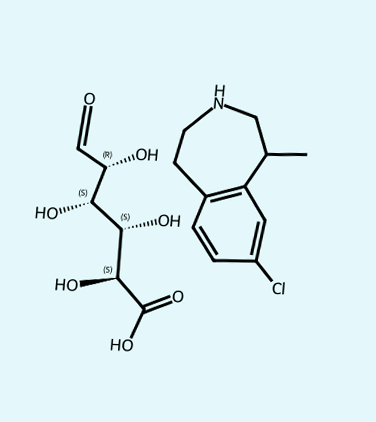 CC1CNCCc2ccc(Cl)cc21.O=C[C@H](O)[C@@H](O)[C@H](O)[C@H](O)C(=O)O